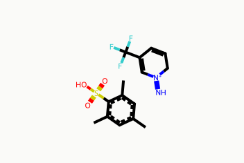 Cc1cc(C)c(S(=O)(=O)O)c(C)c1.N=[N+]1C=C(C(F)(F)F)C=CC1